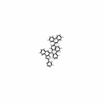 c1ccc(-c2nc3c(o2)c(N(c2ccc(-c4cc5ccccc5c5ccccc45)cc2)c2ccccc2-c2ccccc2)cc2ccccc23)cc1